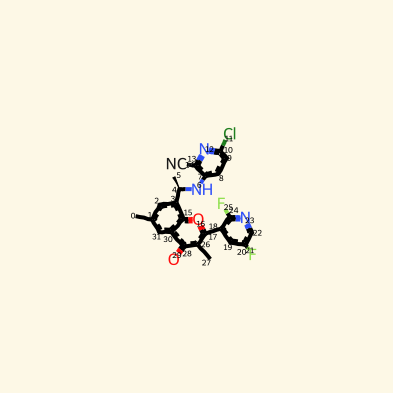 Cc1cc([C@@H](C)Nc2ccc(Cl)nc2C#N)c2oc(-c3cc(F)cnc3F)c(C)c(=O)c2c1